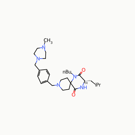 CCCCN1C(=O)[C@H](CC(C)C)NC(=O)C12CCN(Cc1ccc(CN3CCN(C)CC3)cc1)CC2